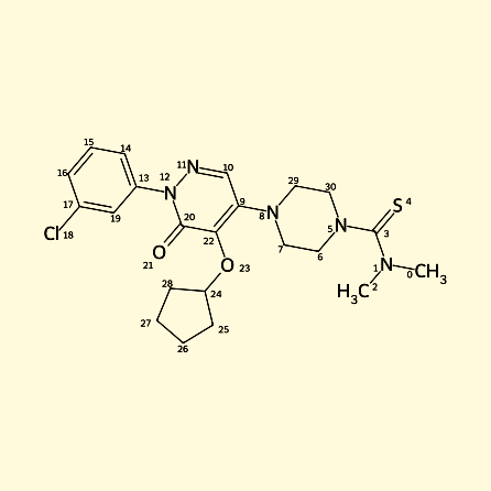 CN(C)C(=S)N1CCN(c2cnn(-c3cccc(Cl)c3)c(=O)c2OC2CCCC2)CC1